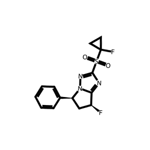 O=S(=O)(c1nc2n(n1)[C@H](c1ccccc1)C[C@@H]2F)C1(F)CC1